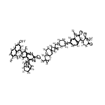 CCc1c(F)ccc2cc(O)cc(-c3ncc4c(N5CC6CCC(C5)N6)nc(OCC5(CN6CCC7(CC6)CC(F)(CN6CCN(c8ccc9c(c8)N(C)C(=O)C9C8CCC(=O)NC8=O)CC6)C7)CC5)nc4c3F)c12